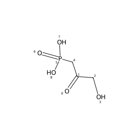 O=C(CO)CP(=O)(O)O